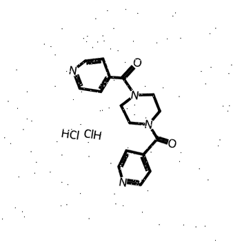 Cl.Cl.O=C(c1ccncc1)N1CCN(C(=O)c2ccncc2)CC1